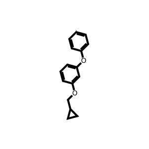 [c]1ccc(Oc2cccc(OCC3CC3)c2)cc1